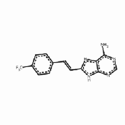 Nc1ncnc2[nH]c(C=Cc3ccc(C(F)(F)F)cc3)nc12